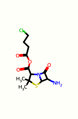 CC1(C)SC2C(N)C(=O)N2C1C(=O)OC(=O)CCCCl